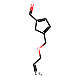 C=CCOCC1=CC=C(C=O)C1